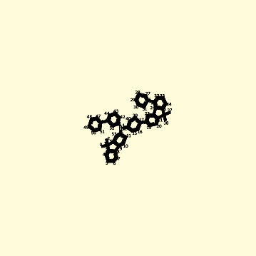 CC1(C)c2ccccc2-c2ccc(N(c3ccc(-c4ccc5c(c4)-c4c(-c6ccccc6)cccc4C5(C)C)cc3)c3cccc(-c4ccccc4)c3)cc21